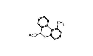 CC(=O)OC1Cc2cccc(C)c2-c2ccccc21